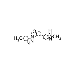 Cc1nc2ccc(-c3ccc4c(c3)CN(c3ncnc5c3CCC(C)C5)CCO4)cc2[nH]1